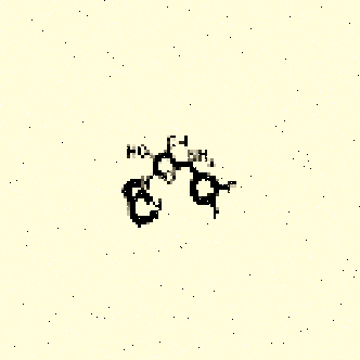 N[C@H](c1ccc(F)c(F)c1)[C@H]1O[C@@H](n2ccc3cccnc32)[C@H](O)[C@@H]1O